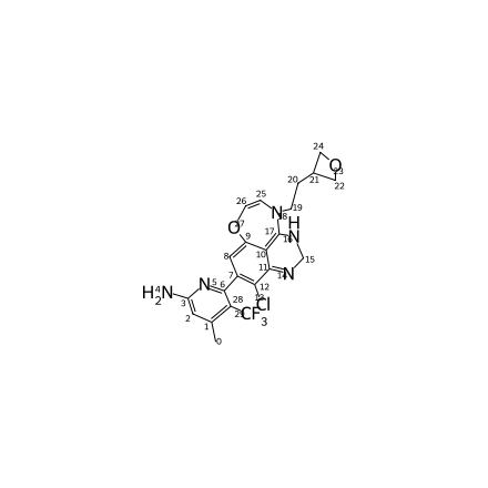 Cc1cc(N)nc(-c2cc3c4c(c2Cl)=NCNC=4N(CCC2COC2)C=CO3)c1C(F)(F)F